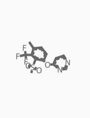 Cc1ccc(Oc2ccncn2)c(S(C)(=O)=O)c1C(F)(F)F